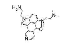 CN(C)CCNc1ccc2c3c(nn2CCN)-c2cnccc2C(=O)c13